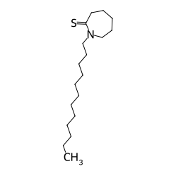 CCCCCCCCCCCCN1CCCCCC1=S